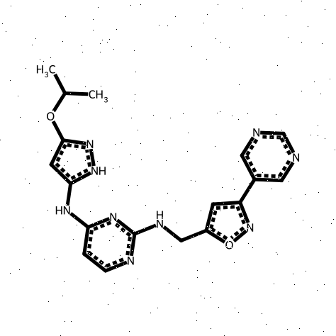 CC(C)Oc1cc(Nc2ccnc(NCc3cc(-c4cncnc4)no3)n2)[nH]n1